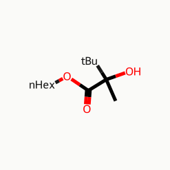 CCCCCCOC(=O)C(C)(O)C(C)(C)C